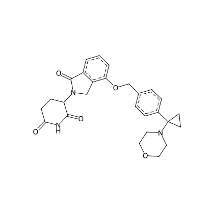 O=C1CCC(N2Cc3c(OCc4ccc(C5(N6CCOCC6)CC5)cc4)cccc3C2=O)C(=O)N1